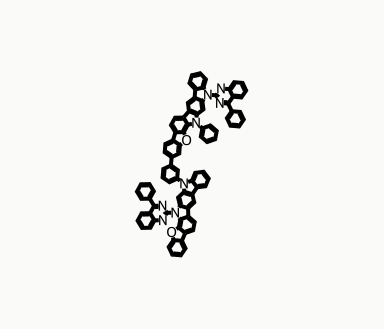 c1ccc(-c2nc(-n3c4ccccc4c4cc5c6ccc7c8ccc(-c9cccc(-n%10c%11ccccc%11c%11cc%12c%13ccc%14c%15ccccc%15oc%14c%13n(-c%13nc(-c%14ccccc%14)c%14ccccc%14n%13)c%12cc%11%10)c9)cc8oc7c6n(-c6ccccc6)c5cc43)nc3ccccc23)cc1